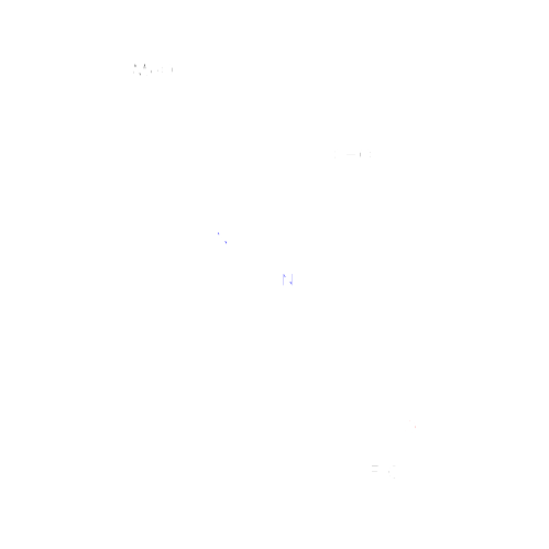 COc1ccc(C=O)c(-c2cn(-c3ccc(OC(F)(F)F)cc3)cn2)c1